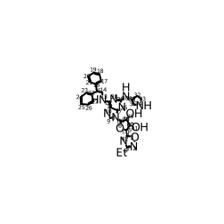 CCc1noc([C@H]2O[C@@H](n3cnc4c(NCC(c5ccccc5)c5ccccc5)nc(N[C@@H]5CCNC5)nc43)[C@H](O)[C@@H]2O)n1